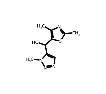 Cc1nc(C)c(C(O)c2cnnn2C)s1